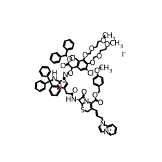 COCCOCOc1c(Cl)cc(C(ON=S2C=C(CC(=O)N[C@@H]3C(=O)N4C(C(=O)OCc5ccc(OC)cc5)=C(C=CCn5cc[n+]6ccccc56)CSC34)N=C2NC(c2ccccc2)(c2ccccc2)c2ccccc2)C(=O)OC(c2ccccc2)c2ccccc2)c(Cl)c1OCOCCOC.[I-]